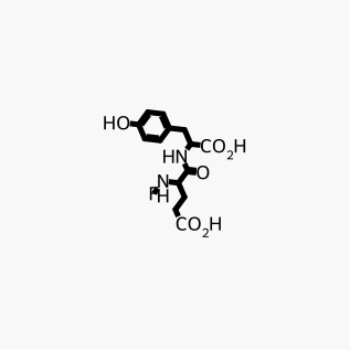 O=C(O)CCC(NF)C(=O)NC(Cc1ccc(O)cc1)C(=O)O